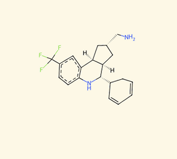 NC[C@@H]1C[C@@H]2[C@H](C1)c1cc(C(F)(F)F)ccc1N[C@H]2C1C=CC=CC1